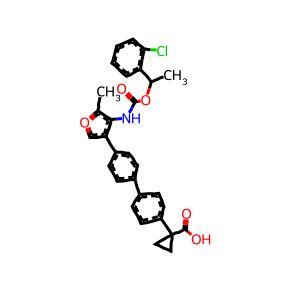 Cc1occ(-c2ccc(-c3ccc(C4(C(=O)O)CC4)cc3)cc2)c1NC(=O)OC(C)c1ccccc1Cl